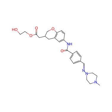 CN1CCN(N=Cc2ccc(C(=O)Nc3ccc4c(c3)CC(CC(=O)OCCO)CO4)cc2)CC1